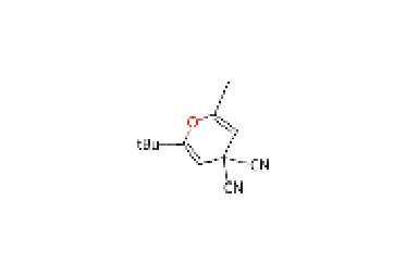 CC1=CC(C#N)(C#N)C=C(C(C)(C)C)O1